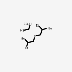 CCCCC(CC)COCC(CC)CCCC.O=C(O)CS